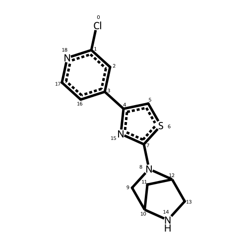 Clc1cc(-c2csc(N3CC4CC3CN4)n2)ccn1